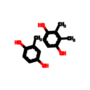 Cc1c(O)ccc(O)c1C.Cc1cc(O)ccc1O